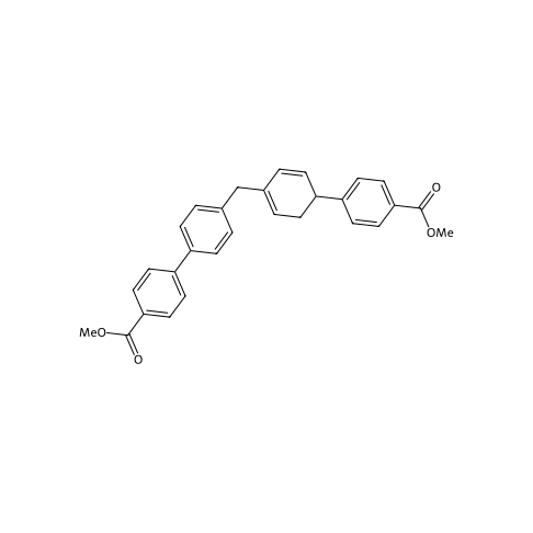 COC(=O)c1ccc(-c2ccc(CC3=CCC(c4ccc(C(=O)OC)cc4)C=C3)cc2)cc1